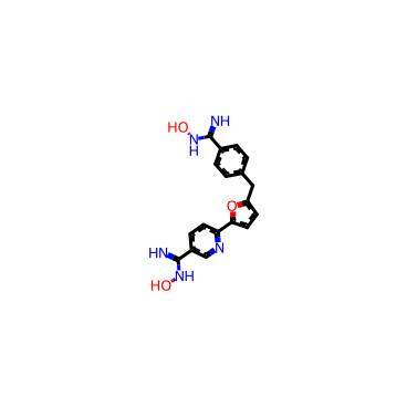 N=C(NO)c1ccc(Cc2ccc(-c3ccc(C(=N)NO)cn3)o2)cc1